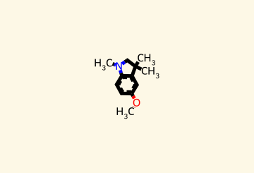 COc1ccc2c(c1)C(C)(C)CN2C